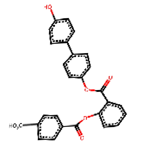 O=C(O)c1ccc(C(=O)Oc2ccccc2C(=O)Oc2ccc(-c3ccc(O)cc3)cc2)cc1